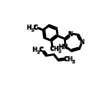 C=CCC=C.Cc1ccc(C2=NC=NC=CN2)c(C)c1